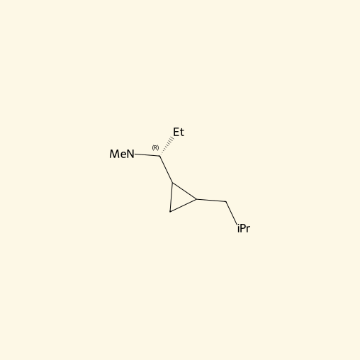 CC[C@@H](NC)C1CC1CC(C)C